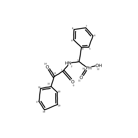 O=C(NC(c1ccccc1)[PH](=O)O)C(=O)c1ccccc1